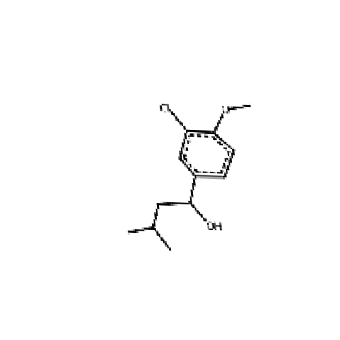 COc1ccc(C(O)CC(C)C)cc1Cl